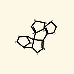 C1=C(C2=CCC3C4CC[C](C4)C23C2=CCCC2)CCC1